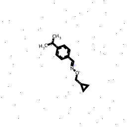 CC(C)c1ccc(/C=N/OCC2CC2)cc1